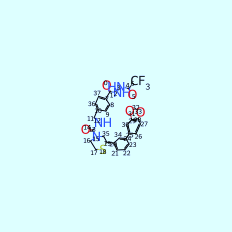 O=C(NNC(=O)C(F)(F)F)c1ccc(CNC(=O)N2CCSC(c3cccc(-c4ccc5c(c4)OCO5)c3)C2)cc1